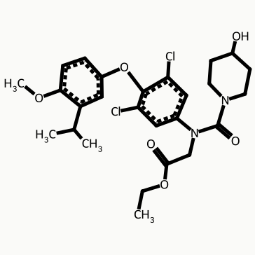 CCOC(=O)CN(C(=O)N1CCC(O)CC1)c1cc(Cl)c(Oc2ccc(OC)c(C(C)C)c2)c(Cl)c1